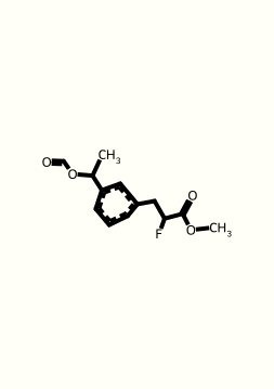 COC(=O)C(F)Cc1cccc(C(C)OC=O)c1